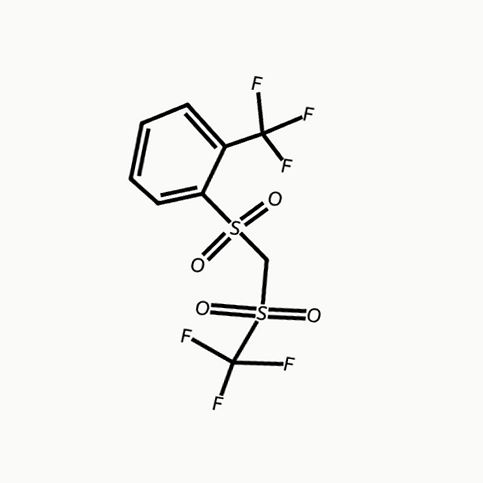 O=S(=O)(CS(=O)(=O)C(F)(F)F)c1ccccc1C(F)(F)F